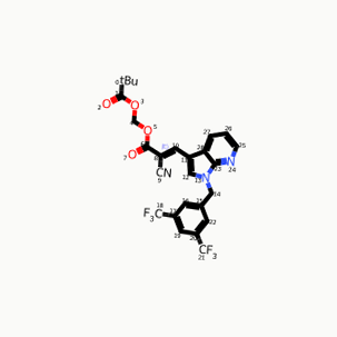 CC(C)(C)C(=O)OCOC(=O)/C(C#N)=C/c1cn(Cc2cc(C(F)(F)F)cc(C(F)(F)F)c2)c2ncccc12